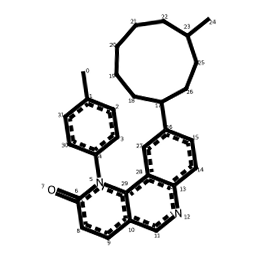 Cc1ccc(-n2c(=O)ccc3cnc4ccc(C5CCCCCC(C)CC5)cc4c32)cc1